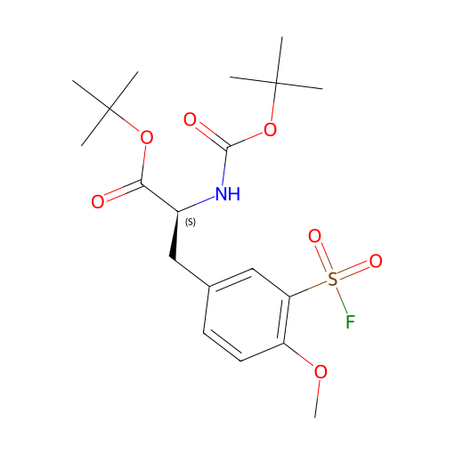 COc1ccc(C[C@H](NC(=O)OC(C)(C)C)C(=O)OC(C)(C)C)cc1S(=O)(=O)F